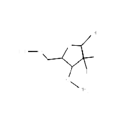 OC1OC(COP)C(OP)C1(F)F